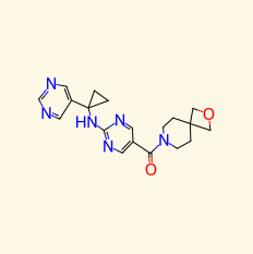 O=C(c1cnc(NC2(c3cncnc3)CC2)nc1)N1CCC2(CC1)COC2